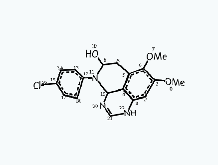 COc1cc2c3c(c1OC)CC(O)N(c1ccc(Cl)cc1)C3N=CN2